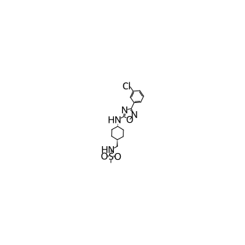 CS(=O)(=O)NC[C@H]1CC[C@H](Nc2nc(-c3cccc(Cl)c3)no2)CC1